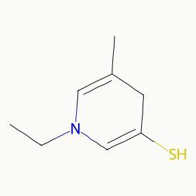 CCN1C=C(C)CC(S)=C1